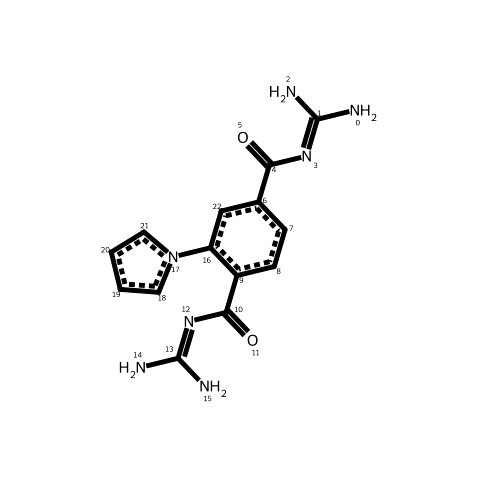 NC(N)=NC(=O)c1ccc(C(=O)N=C(N)N)c(-n2cccc2)c1